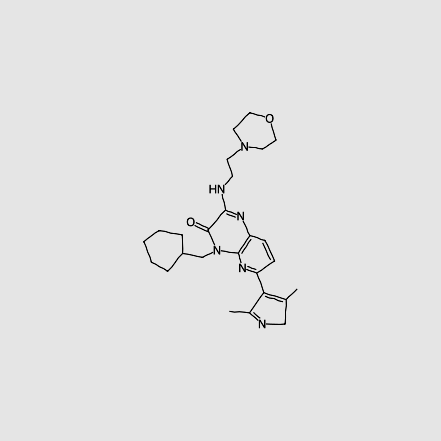 CC1=NCC(C)=C1c1ccc2nc(NCCN3CCOCC3)c(=O)n(CC3CCCCC3)c2n1